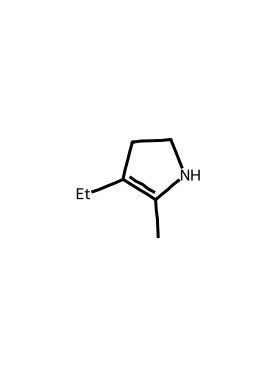 CCC1=C(C)NCC1